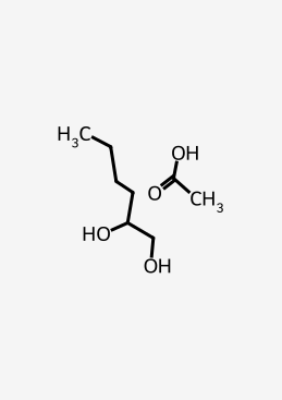 CC(=O)O.CCCCC(O)CO